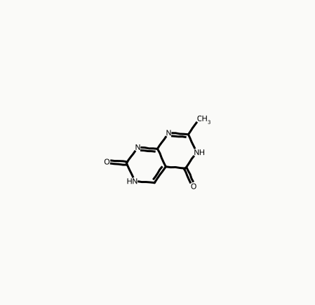 Cc1nc2nc(=O)[nH]cc2c(=O)[nH]1